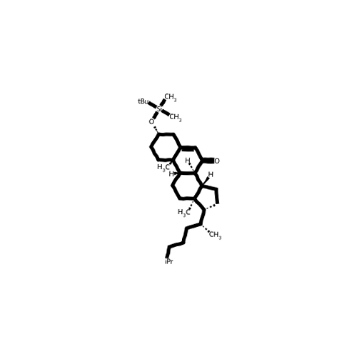 CC(C)CCC[C@@H](C)[C@H]1CC[C@H]2[C@@H]3C(=O)C=C4C[C@@H](O[Si](C)(C)C(C)(C)C)CC[C@]4(C)[C@H]3CC[C@]12C